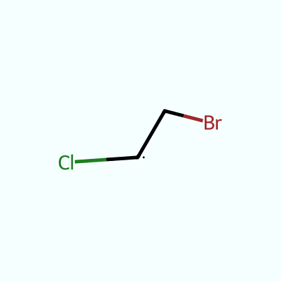 Cl[CH]CBr